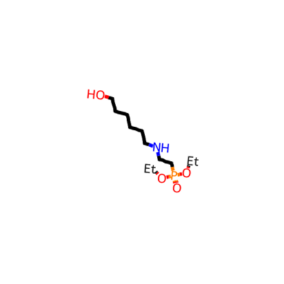 CCOP(=O)(CCNCCCCCCO)OCC